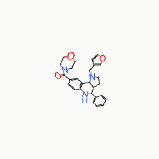 O=C(c1ccc2c(c1)C1C(CCN1Cc1ccoc1)C(c1ccccc1)N2)N1CCOCC1